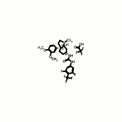 COc1ccc([C@@]23CC[C@@H](NC(=O)Nc4cc(F)c(C(F)(F)F)c(F)c4)C[C@@H]2N(C)CC3)cc1OC.O=C(O)C(F)(F)F